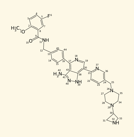 COc1ccc(F)cc1C(=O)NCc1ccc(-c2ncc(-c3ccc(CN4CCN(C5CNC5)CC4)cn3)c3[nH]nc(N)c23)cc1